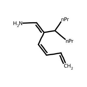 C=C/C=C\C(=C/N)C(CCC)CCC